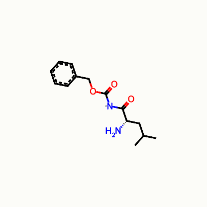 CC(C)C[C@H](N)C(=O)[N]C(=O)OCc1ccccc1